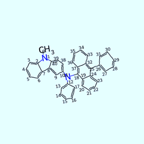 Cn1c2ccccc2c2cc(N(c3ccccc3)c3c4ccccc4c(-c4ccccc4)c4ccccc34)ccc21